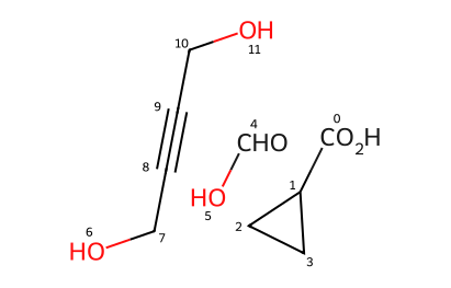 O=C(O)C1CC1.O=CO.OCC#CCO